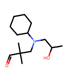 CC(O)CN(CC(C)(C)C=O)C1CCCCC1